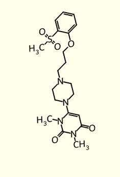 Cn1c(N2CCN(CCCOc3ccccc3S(C)(=O)=O)CC2)cc(=O)n(C)c1=O